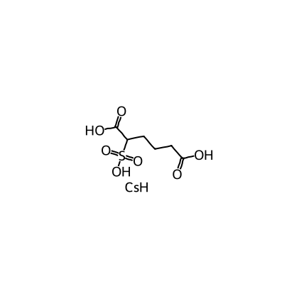 O=C(O)CCCC(C(=O)O)S(=O)(=O)O.[CsH]